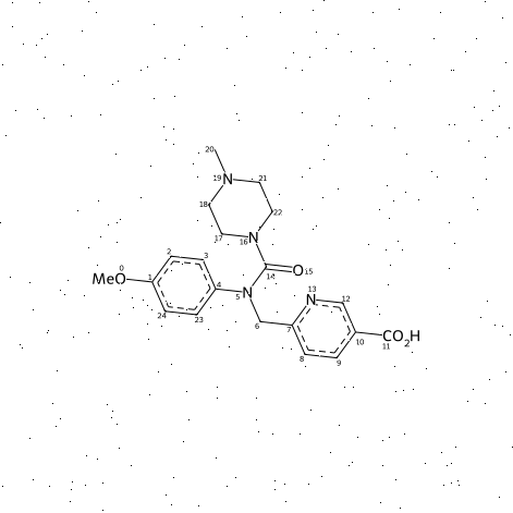 COc1ccc(N(Cc2ccc(C(=O)O)cn2)C(=O)N2CCN(C)CC2)cc1